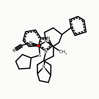 Cc1nc2ccccc2n1C1CC2CCC(C1)N2CCC1CC(c2ccccc2)CCN1C(=NC#N)SC1CCCC1